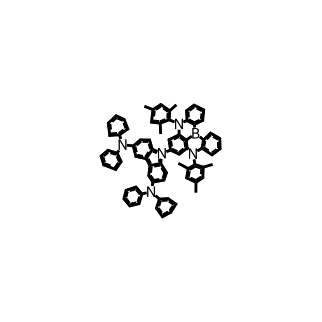 Cc1cc(C)c(N2c3ccccc3B3c4ccccc4N(c4c(C)cc(C)cc4C)c4cc(-n5c6ccc(N(c7ccccc7)c7ccccc7)cc6c6cc(N(c7ccccc7)c7ccccc7)ccc65)cc2c43)c(C)c1